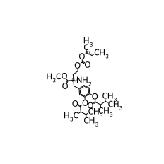 CC[C@H](C)OC(=O)OCC[C@@](N)(Cc1ccc(OC(=O)C(C)C(C)C)c(OC(=O)C(C)C(C)C)c1)C(=O)OC